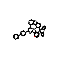 c1ccc(-c2ccc(-c3cc(-c4cccc5oc6ccc7c(c6c45)Sc4ccccc4C74c5ccccc5-c5ccccc54)nc(-c4ccccc4)n3)cc2)cc1